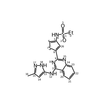 CCS(=O)(=O)Nc1csc(-c2nc(Nc3cc(C)n[nH]3)c3ccccc3n2)c1